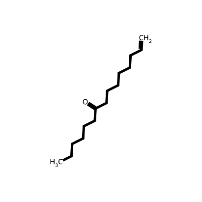 C=CCCCCCCC(=O)CCCCCC